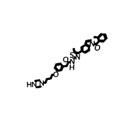 Cc1ccccc1C(=O)n1ccc2cc(-c3nc(NC(=O)Cc4cccc(OCCCCN5CCNCC5)c4)sc3C)ccc21